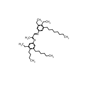 CCCCCCCCc1cc(N=CC(C)=Nc2cc(CC)c(CCCC)c(CCCCCC)c2)cc(CC)c1CC